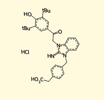 CC(C)(C)c1cc(C(=O)Cn2c(=N)n(Cc3ccc(CC(=O)O)cc3)c3ccccc32)cc(C(C)(C)C)c1O.Cl